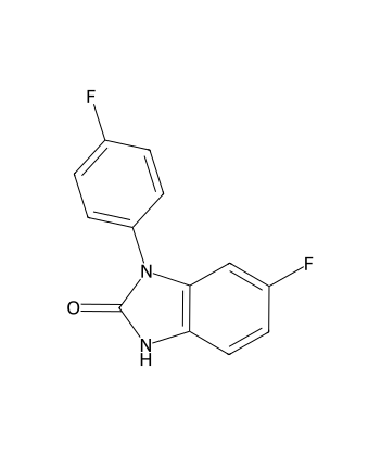 O=c1[nH]c2ccc(F)cc2n1-c1ccc(F)cc1